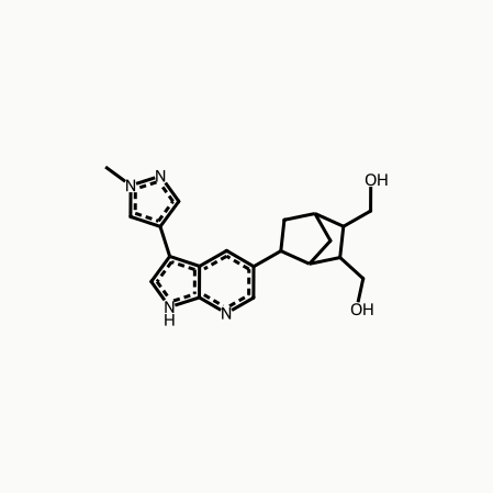 Cn1cc(-c2c[nH]c3ncc(C4CC5CC4C(CO)C5CO)cc23)cn1